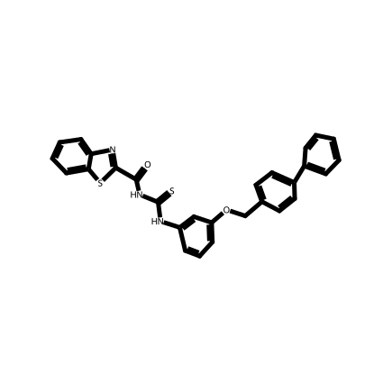 O=C(NC(=S)Nc1cccc(OCc2ccc(-c3ccccc3)cc2)c1)c1nc2ccccc2s1